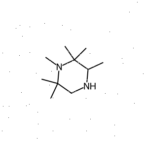 CC1NCC(C)(C)N(C)C1(C)C